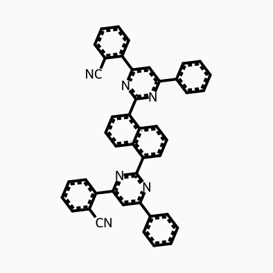 N#Cc1ccccc1-c1cc(-c2ccccc2)nc(-c2cccc3c(-c4nc(-c5ccccc5)cc(-c5ccccc5C#N)n4)cccc23)n1